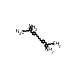 CCCCCc1cc(N)ccc1Cc1ccc(CCCCCCc2ccc(Cc3ccc(N)cc3CCCCC)cc2)cc1